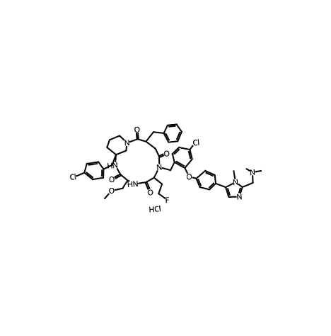 COCC1NC(=O)C(CCF)N(Cc2ccc(Cl)cc2Oc2ccc(-c3cnc(CN(C)C)n3C)cc2)C(=O)CC(Cc2ccccc2)C(=O)N2CCCC(Cc3ccc(Cl)cc3)(C2)NC1=O.Cl